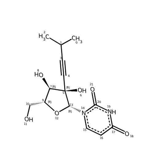 CC(C)C#C[C@@]1(O)[C@H](O)[C@@H](CO)O[C@H]1n1ccc(=O)[nH]c1=O